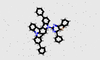 c1ccc(-c2ccc3c(c2)c2c4c5ccccc5n5c6ccc(-c7ccccc7)cc6c(cc2n3-c2nc(-c3ccccc3)c3sc6ccccc6c3n2)c45)cc1